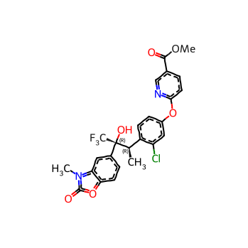 COC(=O)c1ccc(Oc2ccc([C@@H](C)[C@@](O)(c3ccc4oc(=O)n(C)c4c3)C(F)(F)F)c(Cl)c2)nc1